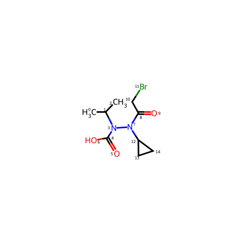 CC(C)N(C(=O)O)N(C(=O)CBr)C1CC1